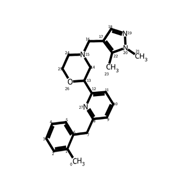 Cc1ccccc1Cc1cccc(C2CN(Cc3cnn(C)c3C)CCO2)n1